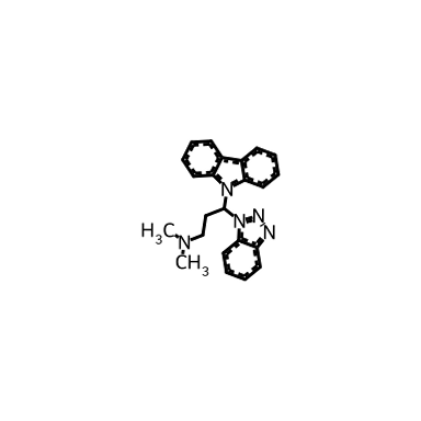 CN(C)CCC(n1nnc2ccccc21)n1c2ccccc2c2ccccc21